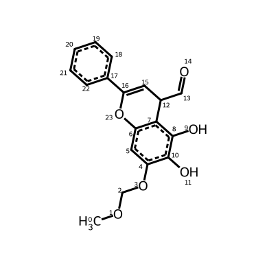 COCOc1cc2c(c(O)c1O)C(C=O)C=C(c1ccccc1)O2